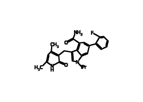 Cc1cc(C)c(Cc2cn(C(C)C)c3cc(-c4ccccc4F)cc(C(N)=O)c23)c(=O)[nH]1